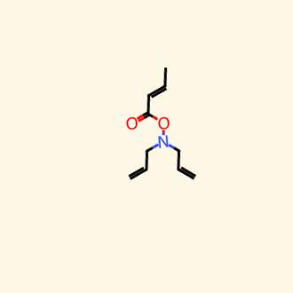 C=CCN(CC=C)OC(=O)/C=C/C